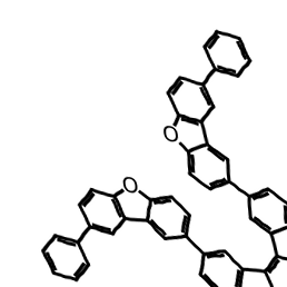 c1ccc(-c2ccc3oc4ccc(-c5ccc6oc7ccc8sc9ccc(-c%10ccc%11oc%12ccc(-c%13ccccc%13)cc%12c%11c%10)cc9c8c7c6c5)cc4c3c2)cc1